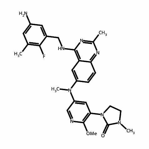 COc1ncc(N(C)c2ccc3nc(C)nc(NCc4cc(N)cc(C)c4F)c3c2)cc1N1CCN(C)C1=O